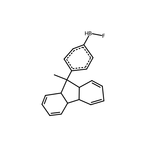 CC1(c2ccc(BF)cc2)C2C=CC=CC2C2C=CC=CC21